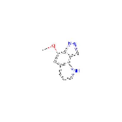 COc1cc2ccc[nH]c2c2cnnc12